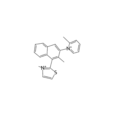 Cc1c(-[n+]2ccccc2C)cc2ccccc2c1-c1scc[n+]1C